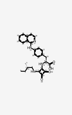 CC[C@H](C)CNc1c(N[C@@H](Cc2ccc(Nc3nccc4ccccc34)cc2)C(=O)O)c(=O)c1=O